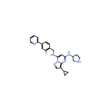 Fc1cc(-c2ccccn2)ccc1CNc1cc(N[C@H]2CCNC2)nc2c(C3CC3)cnn12